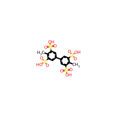 Cc1c(S(=O)(=O)O)cc(-c2cc(S(=O)(=O)O)c(C)c(S(=O)(=O)O)c2)cc1S(=O)(=O)O